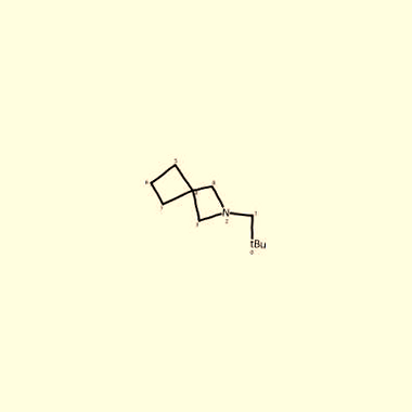 CC(C)(C)CN1CC2(C[CH]C2)C1